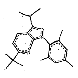 Cc1cc(C)c(-n2nc(C(C)C)c3ccc(C(C)(C)C)nc32)c(C)c1